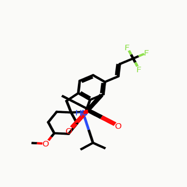 COC1CCC2(CC1)Cc1ccc(/C=C/C(F)(F)F)cc1C21NC(=O)N(C(C)C)C1=O